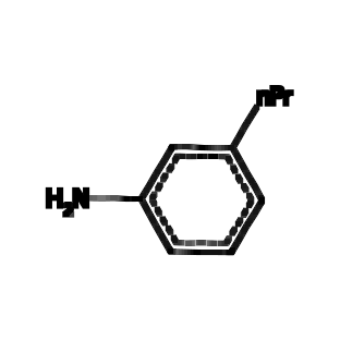 C[CH]Cc1cccc(N)c1